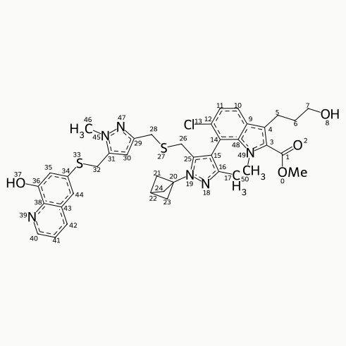 COC(=O)c1c(CCCO)c2ccc(Cl)c(-c3c(C)nn(C45CC(C4)C5)c3CSCc3cc(CSc4cc(O)c5ncccc5c4)n(C)n3)c2n1C